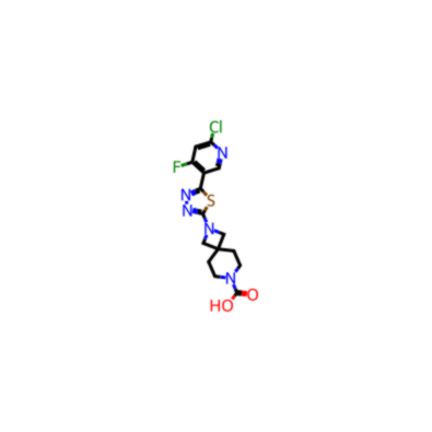 O=C(O)N1CCC2(CC1)CN(c1nnc(-c3cnc(Cl)cc3F)s1)C2